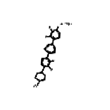 CCCCCCCOc1ccc(-c2ccc(-c3ccc(C4CCC(CCC)CC4)c(F)c3F)cc2)c(F)c1F